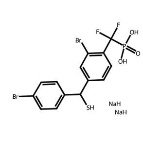 O=P(O)(O)C(F)(F)c1ccc(C(S)c2ccc(Br)cc2)cc1Br.[NaH].[NaH]